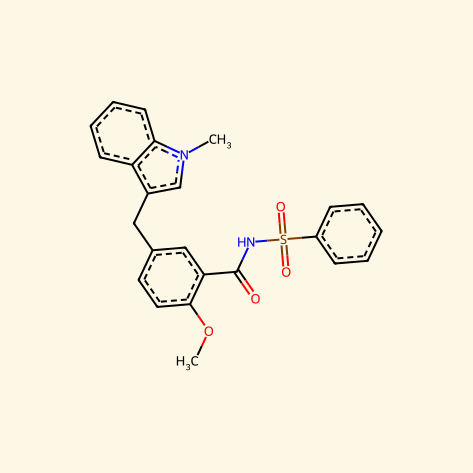 COc1ccc(Cc2cn(C)c3ccccc23)cc1C(=O)NS(=O)(=O)c1ccccc1